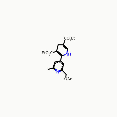 CCOC(=O)C1=CNC(c2cc(C)nc(COC(C)=O)c2)=C(C(=O)OCC)C1